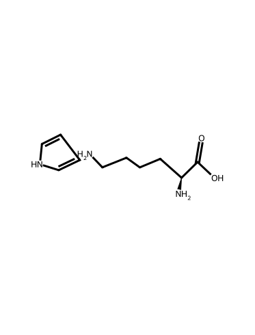 NCCCC[C@H](N)C(=O)O.c1cc[nH]c1